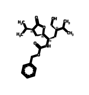 CC(C)[C@@H](CO)C[C@H](NC(=O)OCc1ccccc1)[C@@H]1C[C@@H](C(C)C)C(=O)O1